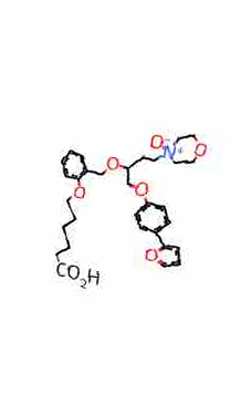 O=C(O)CCCCCOc1ccccc1COC(CC[N+]1([O-])CCOCC1)COc1ccc(-c2ccco2)cc1